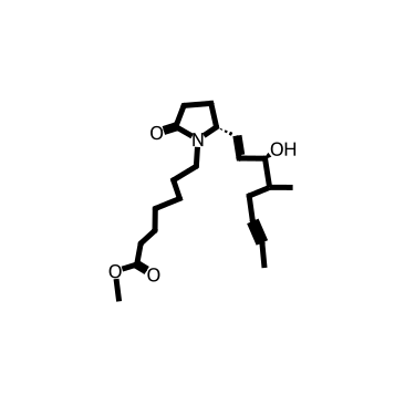 CC#CCC(C)[C@H](O)/C=C/[C@H]1CCC(=O)N1CCCCCCC(=O)OC